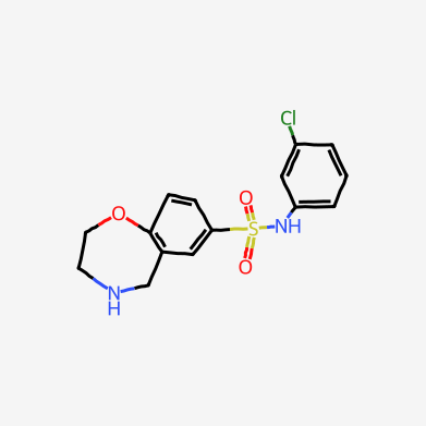 O=S(=O)(Nc1cccc(Cl)c1)c1ccc2c(c1)CNCCO2